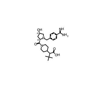 CC(C)(C)C(C(=O)O)C1CCN(C(=O)[C@H]2C[C@@H](O)CN2Cc2ccc(C(=N)N)cc2)CC1